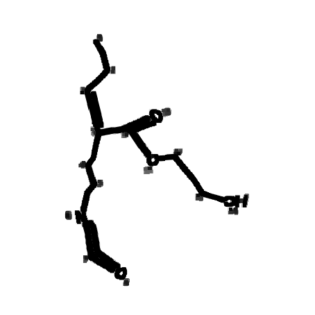 CCC=C(CCN=C=O)C(=O)OCCO